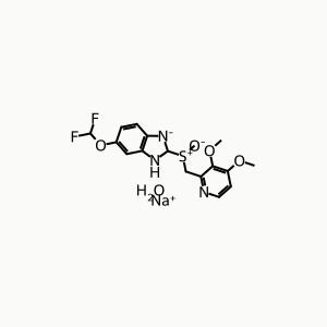 COc1ccnc(C[S+]([O-])C2[N-]c3ccc(OC(F)F)cc3N2)c1OC.O.[Na+]